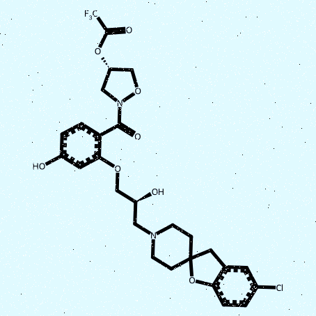 O=C(c1ccc(O)cc1OC[C@@H](O)CN1CCC2(CC1)Cc1cc(Cl)ccc1O2)N1C[C@H](OC(=O)C(F)(F)F)CO1